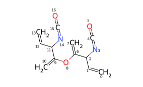 C=CC(N=C=O)C(=C)OC(=C)C(C=C)N=C=O